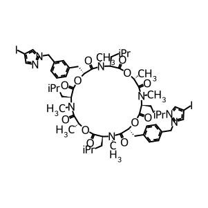 CC(C)C[C@H]1C(=O)O[C@H](Cc2cccc(Cn3cc(I)cn3)c2)C(=O)N(C)[C@@H](CC(C)C)C(=O)O[C@H](C)C(=O)N(C)[C@@H](CC(C)C)C(=O)O[C@H](Cc2ccc(Cn3cc(I)cn3)cc2)C(=O)N(C)[C@@H](CC(C)C)C(=O)O[C@H](C)C(=O)N1C